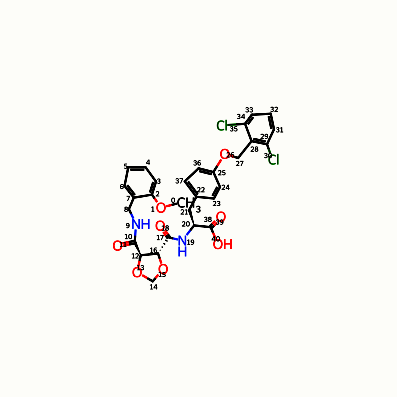 COc1ccccc1CNC(=O)[C@@H]1OCO[C@H]1C(=O)N[C@@H](Cc1ccc(OCc2c(Cl)cccc2Cl)cc1)C(=O)O